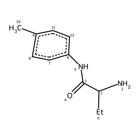 CCC(N)C(=O)Nc1ccc(C)cc1